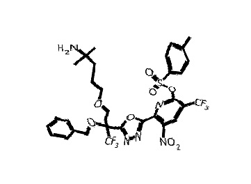 Cc1ccc(S(=O)(=O)Oc2nc(-c3nnc(C(COCCCC(C)(C)N)(OCc4ccccc4)C(F)(F)F)o3)c([N+](=O)[O-])cc2C(F)(F)F)cc1